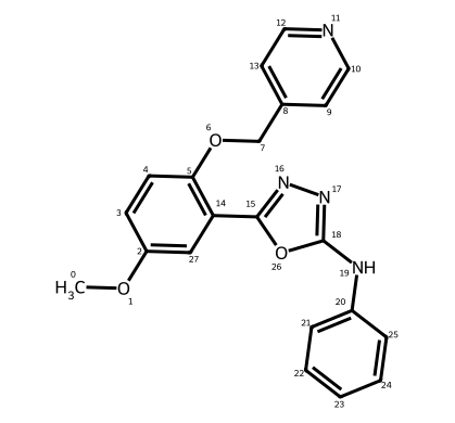 COc1ccc(OCc2ccncc2)c(-c2nnc(Nc3ccccc3)o2)c1